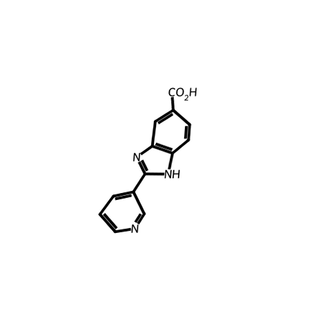 O=C(O)c1ccc2[nH]c(-c3cccnc3)nc2c1